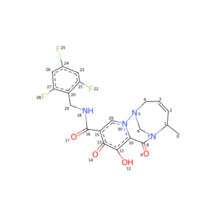 CC1C=CCN2CN1C(=O)c1c(O)c(=O)c(C(=O)NCc3c(F)cc(F)cc3F)cn12